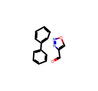 O=Cc1conn1.c1ccc(-c2ccccc2)cc1